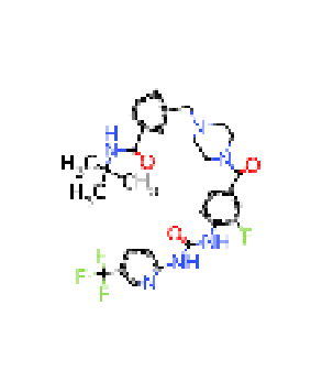 CC(C)(C)NC(=O)c1cccc(CN2CCN(C(=O)c3ccc(NC(=O)Nc4ccc(C(F)(F)F)cn4)c(F)c3)CC2)c1